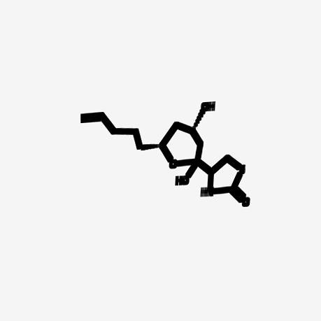 C=CCCC[C@@H]1C[C@H](O)CC(O)(C2CSC(=O)N2)O1